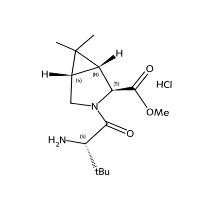 COC(=O)[C@@H]1[C@@H]2[C@H](CN1C(=O)[C@@H](N)C(C)(C)C)C2(C)C.Cl